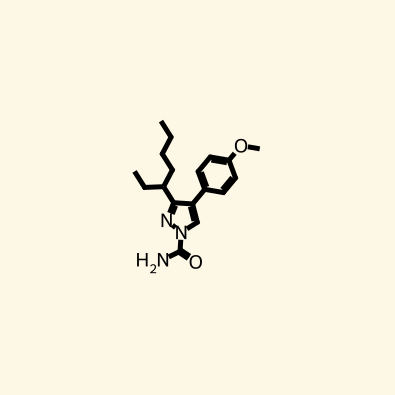 CCCCC(CC)c1nn(C(N)=O)cc1-c1ccc(OC)cc1